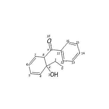 CCC1(O)C=CC=CC1C(=O)c1ccccc1